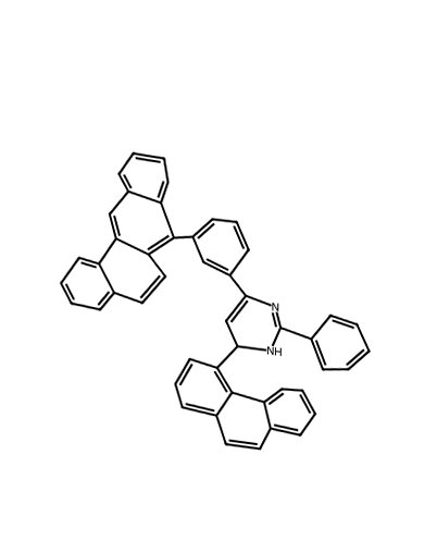 C1=C(c2cccc(-c3c4ccccc4cc4c3ccc3ccccc34)c2)N=C(c2ccccc2)NC1c1cccc2ccc3ccccc3c12